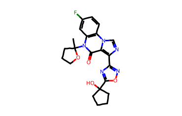 CC1(n2c(=O)c3c(-c4noc(C5(O)CCCC5)n4)ncn3c3ccc(F)cc32)CCCO1